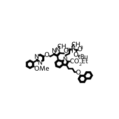 CCOC(=O)c1c(CCCOc2cccc3ccccc23)c2cccc(-c3c(COc4cnc(-c5ccccc5OC)nc4)nn(C)c3CO)c2n1CCCN(C)C(=O)OC(C)(C)C